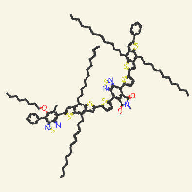 CCCCCCCCCCCCc1c2cc(-c3ccc(-c4c5c(c(-c6ccc(-c7cc8c(CCCCCCCCCCCC)c9sc(-c%10c(C)c(OCCCCCCCC)c(-c%11ccccc%11)c%11nsnc%10%11)cc9c(CCCCCCCCCCCC)c8s7)s6)c6nsnc46)C(=O)N(C)C5=O)s3)sc2c(CCCCCCCCCCCC)c2cc(-c3ccccc3)sc12